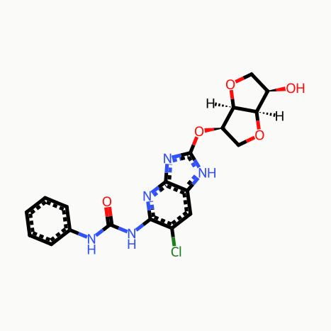 O=C(Nc1ccccc1)Nc1nc2nc(O[C@@H]3CO[C@H]4[C@@H]3OC[C@H]4O)[nH]c2cc1Cl